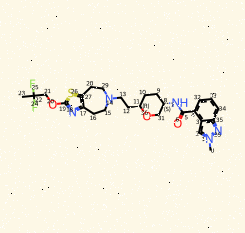 Cn1cc2c(C(=O)N[C@H]3CC[C@H](CCN4CCc5nc(OCC(C)(F)F)sc5CC4)OC3)cccc2n1